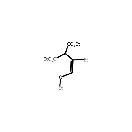 CCOC=C(CC)C(C(=O)OCC)C(=O)OCC